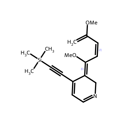 C=C(/C=C\C(OC)=C1/CN=CC=C1C#C[Si](C)(C)C)OC